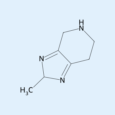 CC1N=C2CCNCC2=N1